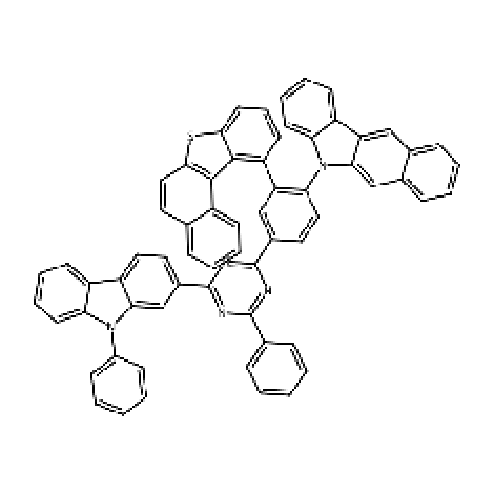 c1ccc(-c2nc(-c3ccc(-n4c5ccccc5c5cc6ccccc6cc54)c(-c4cccc5sc6ccc7ccccc7c6c45)c3)nc(-c3ccc4c5ccccc5n(-c5ccccc5)c4c3)n2)cc1